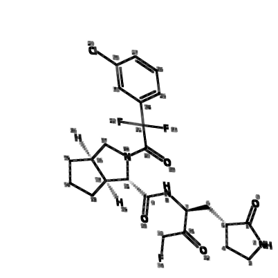 O=C1NCC[C@@H]1C[C@H](NC(=O)[C@@H]1[C@H]2CCC[C@H]2CN1C(=O)C(F)(F)c1cccc(Cl)c1)C(=O)CF